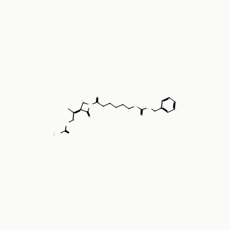 CCCC(=O)OC/C(C)=C1/CN(C(=O)CCCCCNC(=O)OCc2ccccc2)C1=O